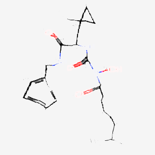 CC(C)CCCC(=O)N(O)C(=O)NC(C(=O)NCc1ccccc1)C1(C)CC1